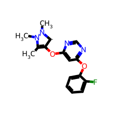 CC1=C(Oc2cc(Oc3ccccc3F)ncn2)[CH]N(C)N1C